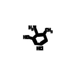 Cc1cccc(O)c1N.Cl